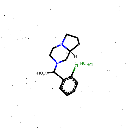 Cl.Cl.O=C(O)C(c1ccccc1Cl)N1CCN2CCC[C@H]2C1